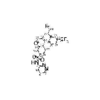 O=S(=O)(Nc1cccnn1)c1ccc2c(c1)OCC[C@@H]2c1ccc(C(F)(F)F)cc1CCF